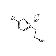 [B+2]c1ccc(CCO)cc1.[OH-].[OH-]